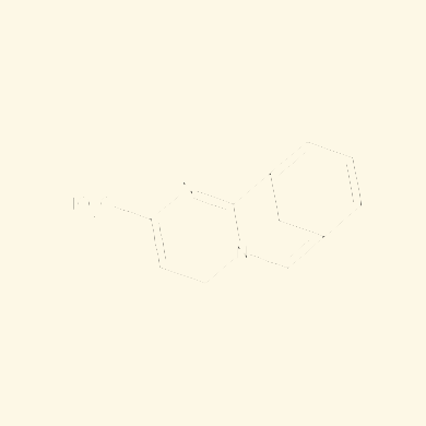 O=C(O)C1=CCN2C=C3C=CC=C(C3)C2=N1